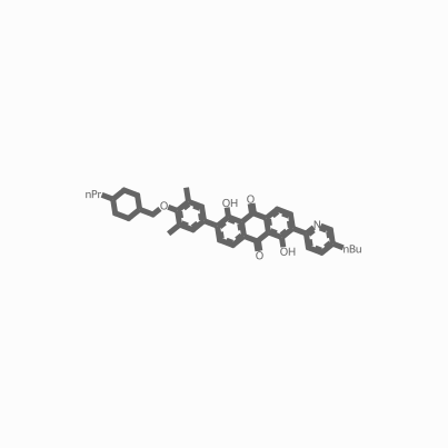 CCCCc1ccc(-c2ccc3c(c2O)C(=O)c2ccc(-c4cc(C)c(OCC5CCC(CCC)CC5)c(C)c4)c(O)c2C3=O)nc1